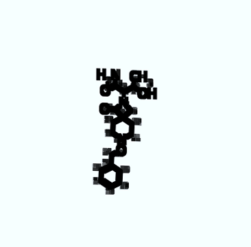 C[C@@H](O)[C@@H](C(N)=O)N1CC2(CCN(OCc3ccccc3)CC2)C1=O